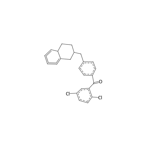 O=C(c1ccc(CC2CCC3C=C=C=C=C3C2)cc1)c1cc(Cl)ccc1Cl